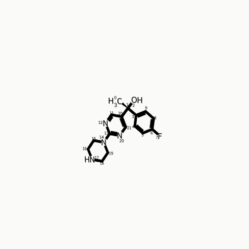 C[C@@](O)(c1ccc(F)cc1)c1cnc(N2CCNCC2)nc1